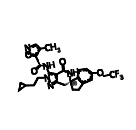 Cc1cnoc1C(=O)Nc1c2c(nn1CCC1CC1)C[C@]1(CCc3cc(OCC(F)(F)F)ccc31)NC2=O